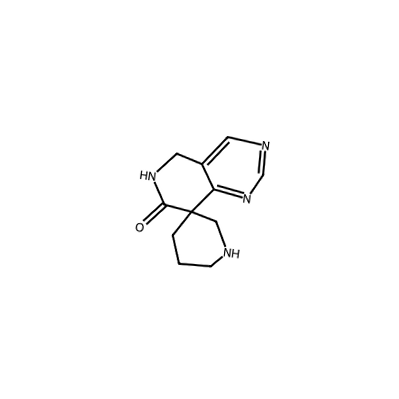 O=C1NCc2cncnc2C12CCCNC2